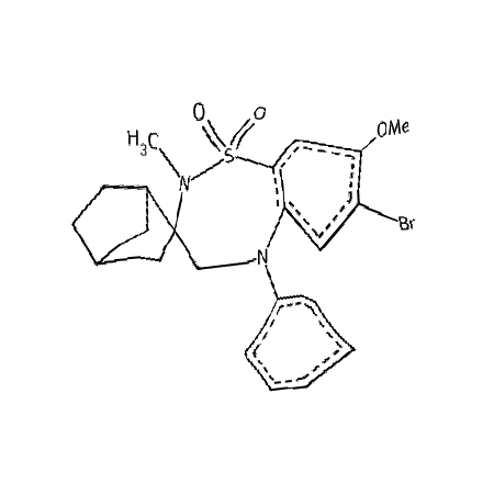 COc1cc2c(cc1Br)N(c1ccccc1)CC1(CC3CCC1C3)N(C)S2(=O)=O